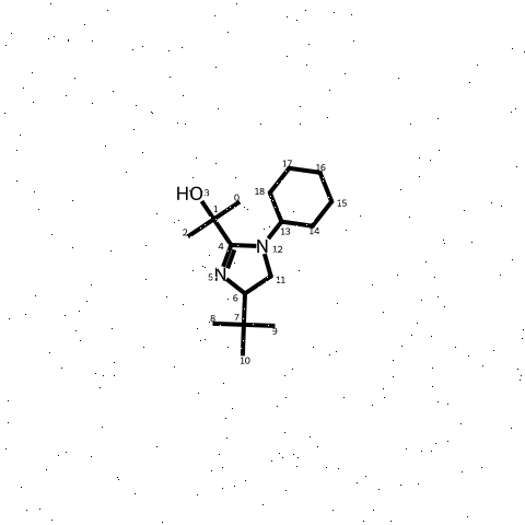 CC(C)(O)C1=NC(C(C)(C)C)CN1C1CCCCC1